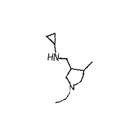 CCN1CC(C)C(CNC2CC2)C1